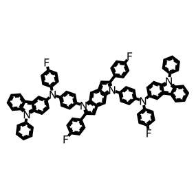 Fc1ccc(-c2cc3cc4c(cc(-c5ccc(F)cc5)n4-c4ccc(N(c5ccc(F)cc5)c5ccc6c(c5)c5ccccc5n6-c5ccccc5)cc4)cc3n2-c2ccc(N(c3ccc(F)cc3)c3ccc4c(c3)c3ccccc3n4-c3ccccc3)cc2)cc1